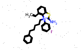 C=Cc1cccc2c1[N+](CCCCCc1ccccc1)(c1ccccc1)C(N)S2.[I-]